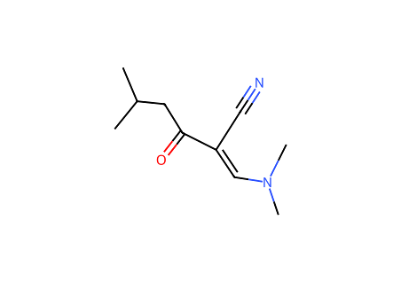 CC(C)CC(=O)/C(C#N)=C/N(C)C